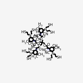 CC1(C)CC(N(CCS)CCS)=C(C#N)/C(=C(/C#N)C(=O)OCC(COC(=O)/C(C#N)=C2\CC(C)(C)CC(N(CCS)CCS)=C2C#N)(COC(=O)/C(C#N)=C2\CC(C)(C)CC(N(CCS)CCS)=C2C#N)COC(=O)/C(C#N)=C2\CC(C)(C)CC(N(CCS)CCS)=C2C#N)C1